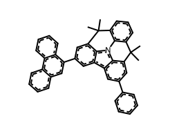 CC1(C)c2cccc3c2-n2c4c1cc(-c1ccccc1)cc4c1cc(-c4cc5ccccc5c5ccccc45)cc(c12)C3(C)C